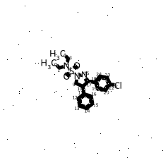 CCN(CC)S(=O)(=O)N1CC(c2ccccc2)C(c2ccc(Cl)cc2)=N1